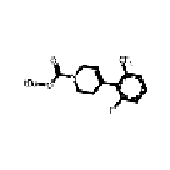 CC(C)(C)OC(=O)N1CC=C(c2c(F)cccc2C(F)(F)F)CC1